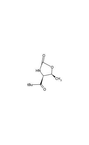 C[C@@H]1OC(=O)N[C@@H]1C(=O)C(C)(C)C